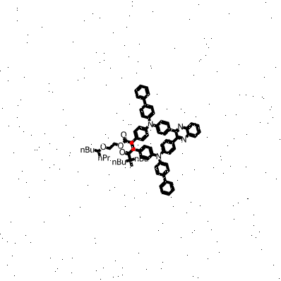 CCCCC(CCC)OCCOC(=O)CCc1ccc(N(c2ccc(-c3ccccc3)cc2)c2ccc(-c3nc4ccccc4nc3-c3ccc(N(c4ccc(CCC(=O)C(C)(CCCC)CCCC)cc4)c4ccc(-c5ccccc5)cc4)cc3)cc2)cc1